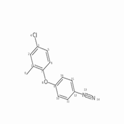 Cc1cc(Cl)ccc1Oc1ccc([N+]#N)cc1